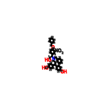 O=[N+]([O-])c1cc([C@H](CO)N(CCC(c2ccc(O)cc2)c2ccc(O)cc2)Cc2ccccc2)ccc1OCc1ccccc1